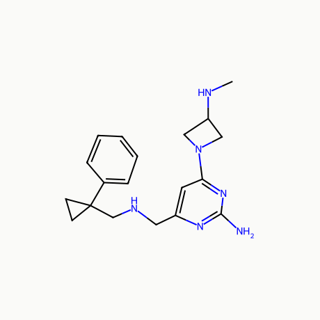 CNC1CN(c2cc(CNCC3(c4ccccc4)CC3)nc(N)n2)C1